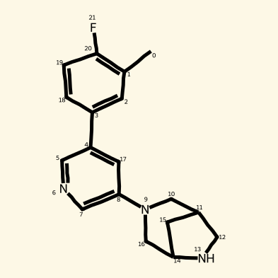 Cc1cc(-c2cncc(N3CC4CNC(C4)C3)c2)ccc1F